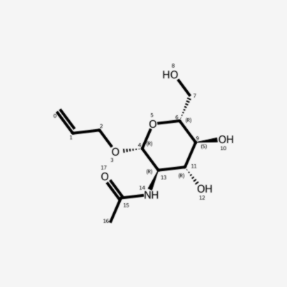 C=CCO[C@@H]1O[C@H](CO)[C@@H](O)[C@H](O)[C@H]1NC(C)=O